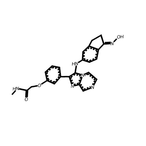 CNC(=O)COc1cccc(-c2nc3cnccn3c2Nc2ccc3c(c2)CCC3=NO)c1